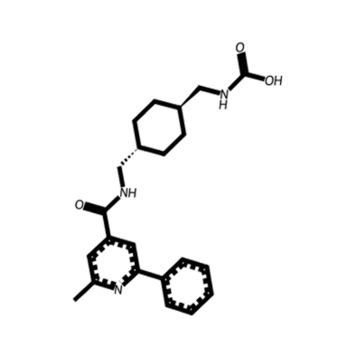 Cc1cc(C(=O)NC[C@H]2CC[C@H](CNC(=O)O)CC2)cc(-c2ccccc2)n1